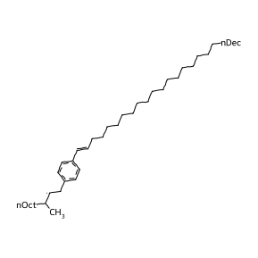 CCCCCCCCCCCCCCCCCCCCCCCCCCCC=Cc1ccc(C[CH]C(C)CCCCCCCC)cc1